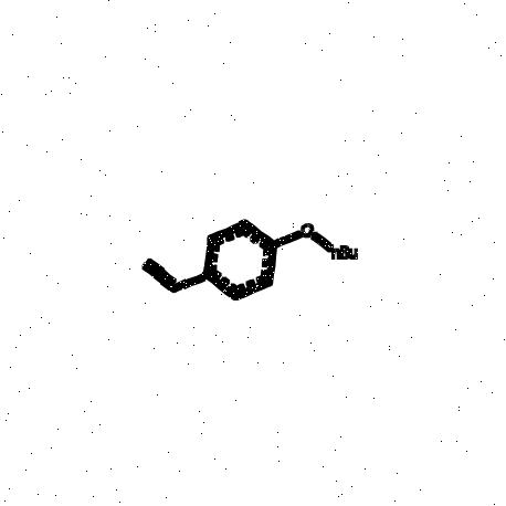 [CH2]CCCOc1ccc(C=C)cc1